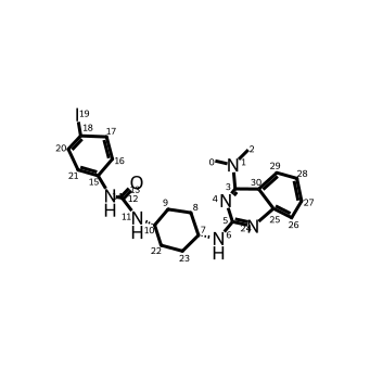 CN(C)c1nc(N[C@H]2CC[C@@H](NC(=O)Nc3ccc(I)cc3)CC2)nc2ccccc12